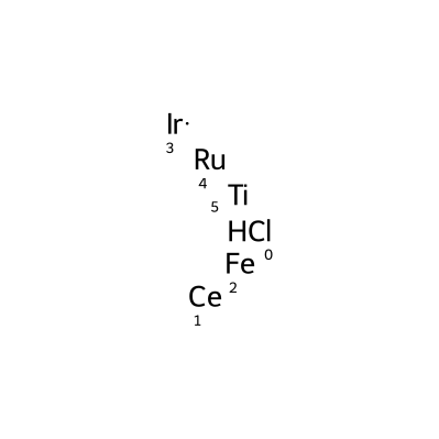 Cl.[Ce].[Fe].[Ir].[Ru].[Ti]